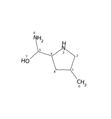 CC1CNC(C(N)O)C1